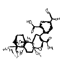 CC1(C)CCC[C@]2(C)[C@H]3CC(c4ccc(C(=O)O)nc4C(=O)O)=C(C(=O)O)O[C@]3(C)CC[C@@H]12